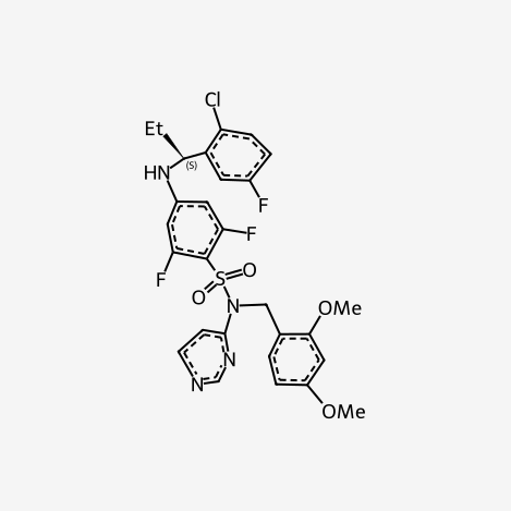 CC[C@H](Nc1cc(F)c(S(=O)(=O)N(Cc2ccc(OC)cc2OC)c2ccncn2)c(F)c1)c1cc(F)ccc1Cl